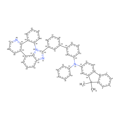 CC1(C)c2ccccc2-c2ccc(N(c3ccccc3)c3cccc(-c4cccc(-c5nc6cccc7c6n5-c5ccccc5-c5ncccc5-7)c4)c3)cc21